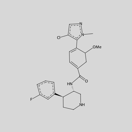 COC1CC(C(=O)N[C@@H]2CNCC[C@H]2c2cccc(F)c2)=CC=C1c1c(Cl)cnn1C